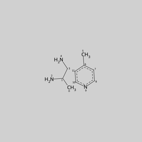 CC(N)CN.Cc1ccncc1